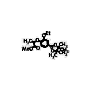 CCOc1cc(B2OC(C)(C)C(C)(C)O2)ccc1OC(C)C(=O)OC